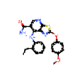 CCc1ccccc1Nc1c(C(N)=O)cnc2sc(Oc3ccc(OC)cc3)nc12